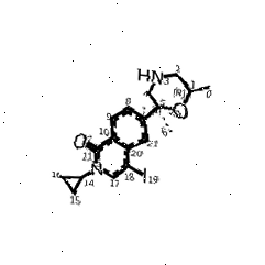 C[C@@H]1CNC[C@](C)(c2ccc3c(=O)n(C4CC4)cc(I)c3c2)O1